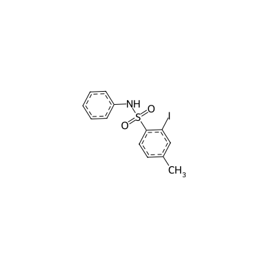 Cc1ccc(S(=O)(=O)Nc2ccccc2)c(I)c1